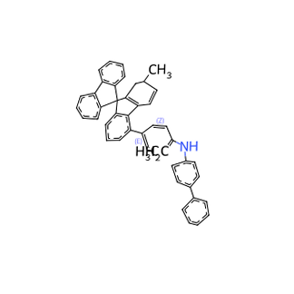 C=C(/C=C\C(=C/C)c1cccc2c1C1=C(CC(C)C=C1)C21c2ccccc2-c2ccccc21)Nc1ccc(-c2ccccc2)cc1